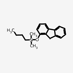 CCCC[Si](C)(C)Oc1cccc2c1[CH]c1ccccc1-2